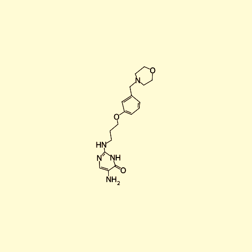 Nc1cnc(NCCCOc2cccc(CN3CCOCC3)c2)[nH]c1=O